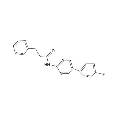 O=C(CCc1ccccc1)Nc1ncc(-c2ccc(F)cc2)cn1